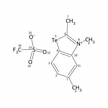 Cc1ccc2[te]c(C)[n+](C)c2c1.O=S(=O)([O-])C(F)(F)F